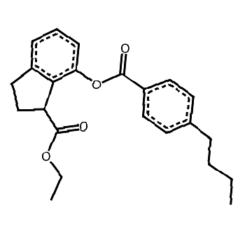 CCCCc1ccc(C(=O)Oc2cccc3c2C(C(=O)OCC)CC3)cc1